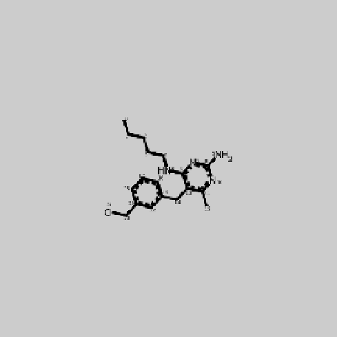 CCCCCNc1nc(N)nc(C)c1Cc1cccc(CCl)c1